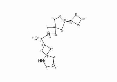 O=C(C1CC2(COCN2)C1)N1CC2(CC[C@@H](C3CCC3)C2)C1